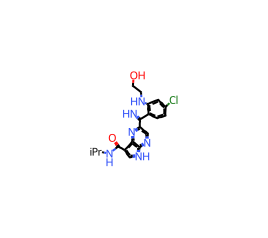 CC(C)NC(=O)c1c[nH]c2ncc(C(=N)c3ccc(Cl)cc3NCCO)nc12